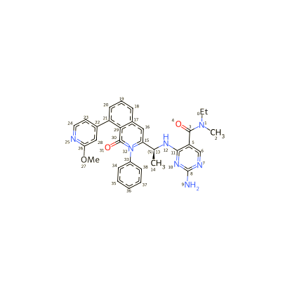 CCN(C)C(=O)c1cnc(N)nc1N[C@@H](C)c1cc2cccc(-c3ccnc(OC)c3)c2c(=O)n1-c1ccccc1